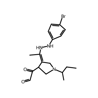 CCC(C)N1CC(=C(C)NNc2ccc(Br)cc2)C(C(=O)C=O)C1